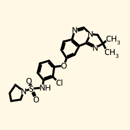 CC1(C)CN2C=Nc3ccc(Oc4cccc(NS(=O)(=O)N5CCCC5)c4Cl)cc3C2=N1